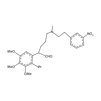 COc1cc(C(C=O)CCCN(C)CCc2cccc([N+](=O)[O-])c2)c(C(C)C)c(OC)c1OC